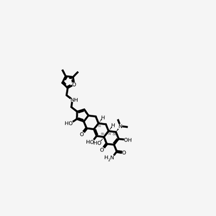 Cc1cc(CNCC2=CC3C[C@H]4C[C@H]5[C@H](N(C)C)C(O)=C(C(N)=O)C(=O)[C@@]5(O)C(O)=C4C(=O)C3=C2O)oc1C